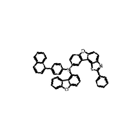 c1ccc(-c2nc3ccc4oc5ccc(N(c6ccc(-c7cccc8ccccc78)cc6)c6cccc7oc8ccccc8c67)cc5c4c3s2)cc1